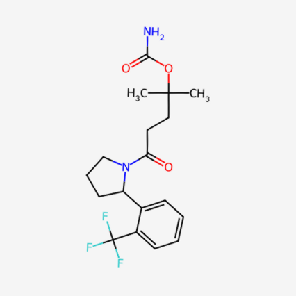 CC(C)(CCC(=O)N1CCCC1c1ccccc1C(F)(F)F)OC(N)=O